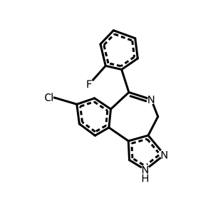 Fc1ccccc1C1=NCc2n[nH]cc2-c2ccc(Cl)cc21